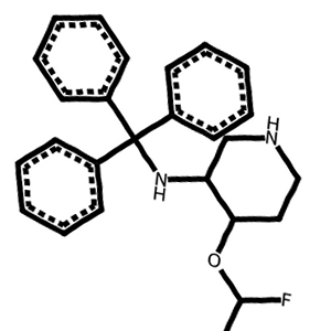 FC(F)OC1CCNCC1NC(c1ccccc1)(c1ccccc1)c1ccccc1